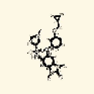 Cn1cnc(S(=O)(=O)Nc2cc3c(cc2Oc2cccc(OCC4CC4)c2)n(C)c(=O)n3C)c1